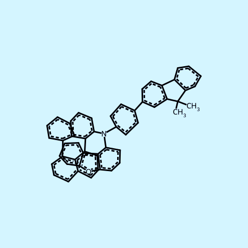 CC1(C)c2ccccc2-c2ccc(-c3ccc(N(c4ccccc4-c4cccc5cccc(-c6ccccc6)c45)c4cccc5oc6ccccc6c45)cc3)cc21